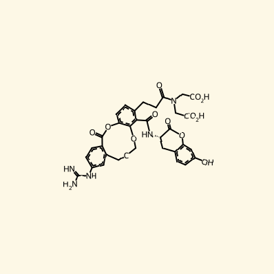 N=C(N)Nc1ccc2c(c1)CCCOc1c(ccc(CCC(=O)N(CC(=O)O)CC(=O)O)c1C(=O)N[C@H]1Cc3ccc(O)cc3OC1=O)OC2=O